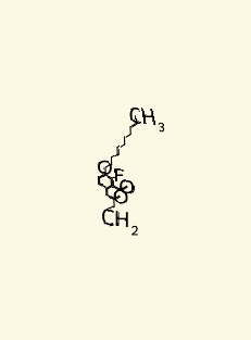 C=CCc1cc2ccc(OCCCCCCCCCC)c(F)c2c(=O)o1